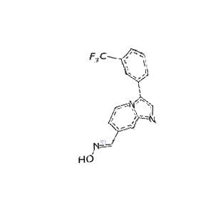 O/N=C/c1ccn2c(-c3cccc(C(F)(F)F)c3)cnc2c1